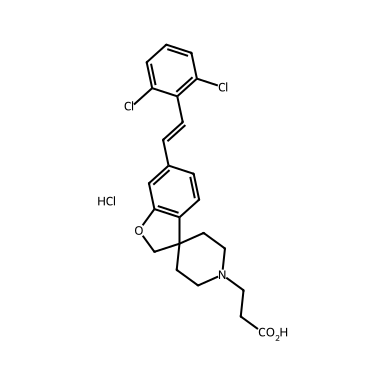 Cl.O=C(O)CCN1CCC2(CC1)COc1cc(/C=C/c3c(Cl)cccc3Cl)ccc12